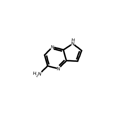 Nc1cnc2[nH]ccc2n1